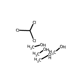 CO.CO.CO.CO.ClC(Cl)Cl